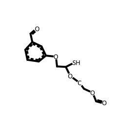 O=COCCOC(S)COc1cccc(C=O)c1